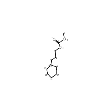 COC(=O)OCCCN1CCCCC1